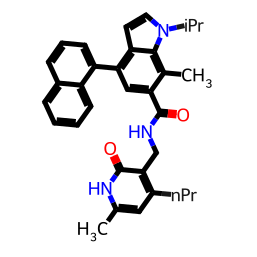 CCCc1cc(C)[nH]c(=O)c1CNC(=O)c1cc(-c2cccc3ccccc23)c2ccn(C(C)C)c2c1C